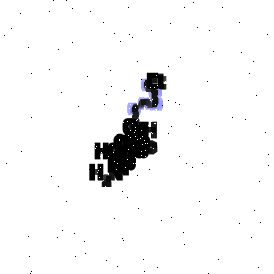 CC/C=C\C/C=C\C/C=C\C/C=C\C/C=C\CCCC(=O)NCCNP(=O)(OC[C@H]1OC(n2cnc(N)nc2=O)[C@H](O)[C@@H]1O)Oc1ccccc1